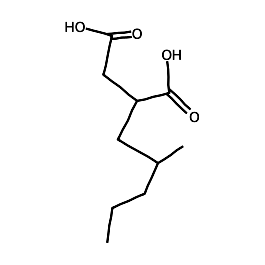 CCCC(C)CC(CC(=O)O)C(=O)O